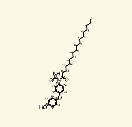 CCCCCCCCCCCCCCCCCC(=O)N(C(N)=O)c1ccc(Oc2ccc(O)cc2)cc1